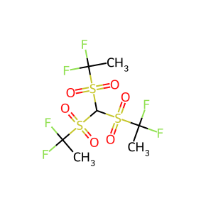 CC(F)(F)S(=O)(=O)C(S(=O)(=O)C(C)(F)F)S(=O)(=O)C(C)(F)F